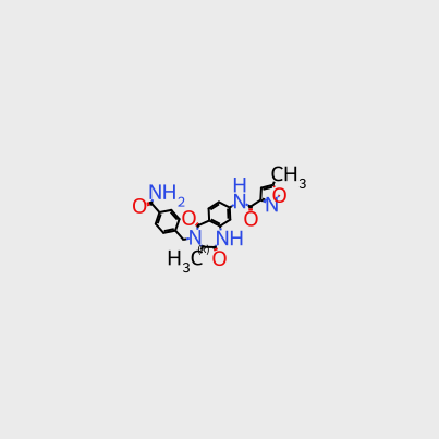 Cc1cc(C(=O)Nc2ccc3c(c2)NC(=O)[C@@H](C)N(Cc2ccc(C(N)=O)cc2)C3=O)no1